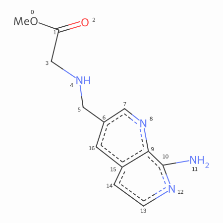 COC(=O)CNCc1cnc2c(N)nccc2c1